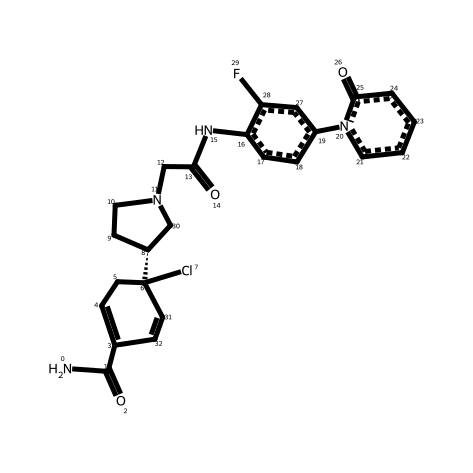 NC(=O)C1=CCC(Cl)([C@@H]2CCN(CC(=O)Nc3ccc(-n4ccccc4=O)cc3F)C2)C=C1